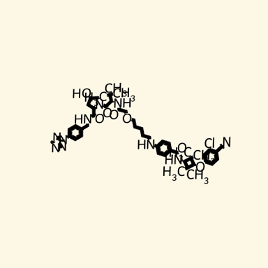 CC(C)(C)[C@H](NC(=O)COCCCCCNc1ccc(C(=O)N[C@H]2C(C)(C)[C@H](Oc3ccc(C#N)c(Cl)c3)C2(C)C)cc1)C(=O)N1C[C@H](O)CC1C(=O)NCc1ccc(-n2ncnn2)cc1